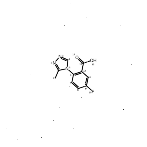 Cc1nncn1-c1ccc(F)cc1C(=O)O